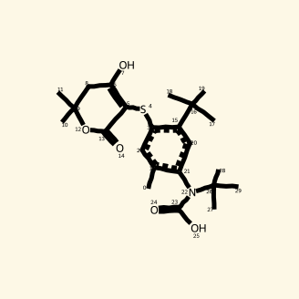 Cc1cc(SC2=C(O)CC(C)(C)OC2=O)c(C(C)(C)C)cc1N(C(=O)O)C(C)(C)C